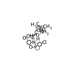 CC[C@H]([C@@H](C)C/C=C/[C@H](O)[C@@H]1CC[C@H]1CN1C[C@@]2(CCCc3cc(Cl)ccc32)COc2ccc(C(=O)O)cc21)S(N)(=O)=O